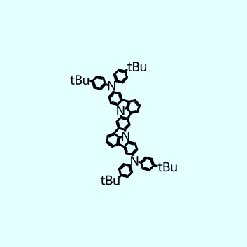 CC(C)(C)c1ccc(N(c2ccc(C(C)(C)C)cc2)c2ccc3c(c2)c2cccc4c5cc6c(cc5n3c24)c2cccc3c4cc(N(c5ccc(C(C)(C)C)cc5)c5ccc(C(C)(C)C)cc5)ccc4n6c32)cc1